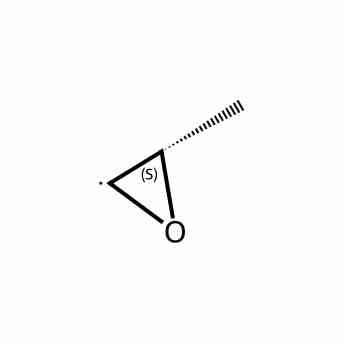 C[C@H]1[CH]O1